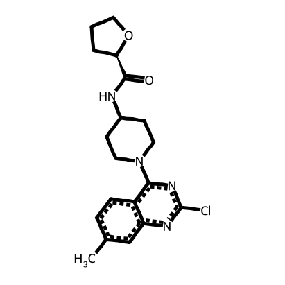 Cc1ccc2c(N3CCC(NC(=O)[C@H]4CCCO4)CC3)nc(Cl)nc2c1